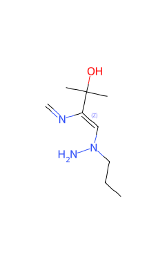 C=N/C(=C\N(N)CCC)C(C)(C)O